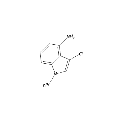 CCCn1cc(Cl)c2c(N)cccc21